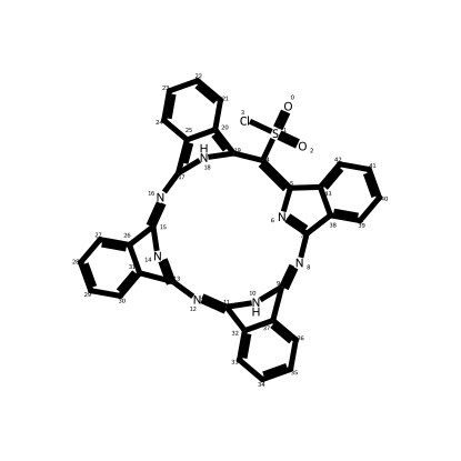 O=S(=O)(Cl)c1c2nc(nc3[nH]c(nc4nc(nc5[nH]c1c1ccccc51)-c1ccccc1-4)c1ccccc31)-c1ccccc1-2